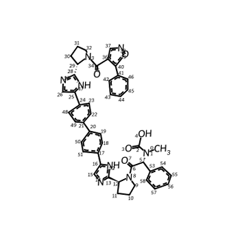 CN(C(=O)O)[C@@H](C(=O)N1CCC[C@H]1c1ncc(-c2ccc(-c3ccc(-c4cnc([C@@H]5CCCN5C(=O)c5cnoc5-c5ccccc5)[nH]4)cc3)cc2)[nH]1)c1ccccc1